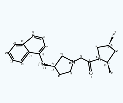 C[C@@H]1C[C@H](F)CN1C(=O)CN1CC[C@@H](Nc2ccnc3ccccc23)C1